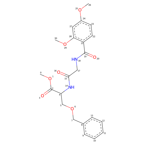 COC(=O)C(COCc1ccccc1)NC(=O)CNC(=O)c1ccc(OC)cc1OC